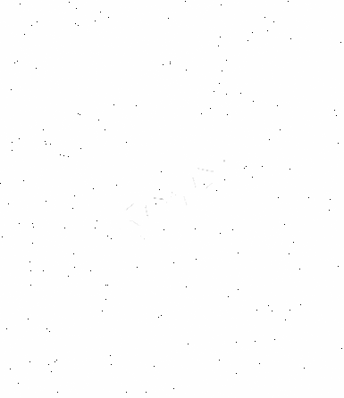 O=C(NN=Cc1ccc(Cl)c([N+](=O)[O-])c1)c1ccc(O)c(O)c1